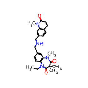 CCN1C(=O)C(C)(C)C(=O)N(C)c2cc(CNCc3ccc4c(c3)N(C)C(=O)CC4)ccc21